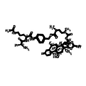 CCCC1O[C@@H]2C[C@H]3[C@@H]4C[C@H](F)C5=CC(=O)C=C[C@]5(C)[C@@]4(F)[C@@H](O)C[C@]3(C)[C@]2(C(=O)COC(=O)N(C)CCN(C)C(=O)OCc2ccc(NC(=O)[C@H](CCCNC(N)=O)NC(=O)[C@@H](N)C(C)C)cc2)O1